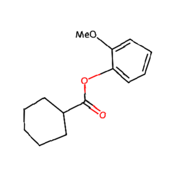 COc1ccccc1OC(=O)C1CCCCC1